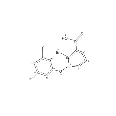 C=C(O)c1cccc(Oc2cc(C)cc(C)c2)c1Br